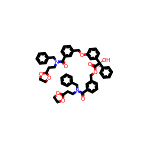 O=C(c1cccc(COC(=O)[C@](O)(c2ccccc2)c2cccc(OCc3cccc(C(=O)N(CCC4OCCO4)Cc4ccccc4)c3)c2)c1)N(CCC1OCCO1)Cc1ccccc1